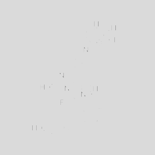 C#Cc1c(F)ccc2cc(OCOC)cc(-c3ncc4c(C5C6CN(C(=O)OC(C)(C)C)CC65)nc(C)n4c3F)c12